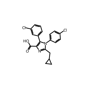 O=C(O)c1nc(CC2CC2)n(-c2ccc(Cl)cc2)c1-c1cccc(Cl)c1